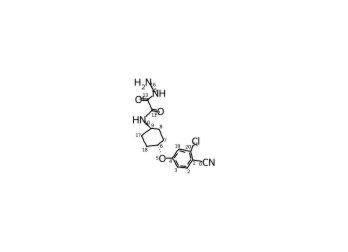 N#Cc1ccc(O[C@H]2CC[C@H](NC(=O)C(=O)NN)CC2)cc1Cl